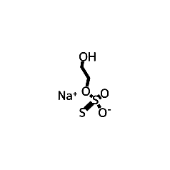 O=S([O-])(=S)OCCO.[Na+]